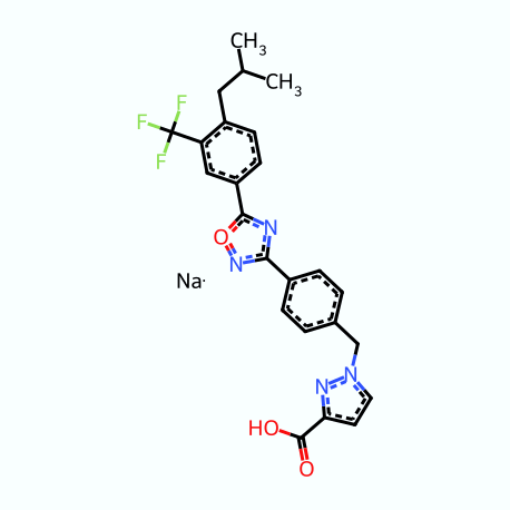 CC(C)Cc1ccc(-c2nc(-c3ccc(Cn4ccc(C(=O)O)n4)cc3)no2)cc1C(F)(F)F.[Na]